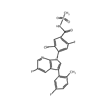 Cc1ccc(F)cc1-c1cn(-c2cc(F)c(C(=O)NS(C)(=O)=O)cc2Cl)c2ncc(F)cc12